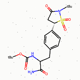 CC(C)(C)OC(=O)NC(Cc1ccc([C@@H]2CC(=O)N(C(C)(C)C)S2(=O)=O)cc1)C(N)=O